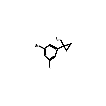 CC1(c2cc(Br)cc(Br)c2)CC1